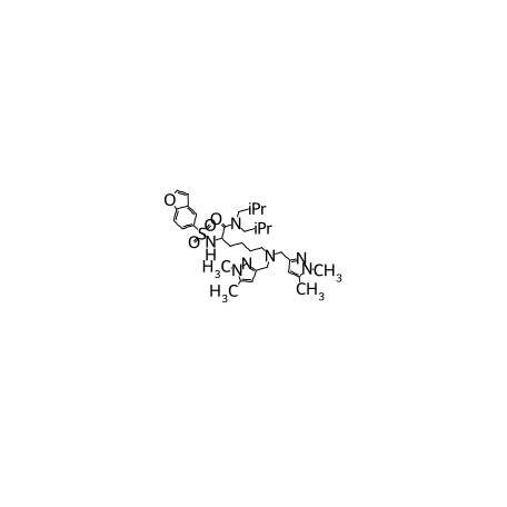 Cc1cc(CN(CCCCC(NS(=O)(=O)c2ccc3occc3c2)C(=O)N(CC(C)C)CC(C)C)Cc2cc(C)n(C)n2)nn1C